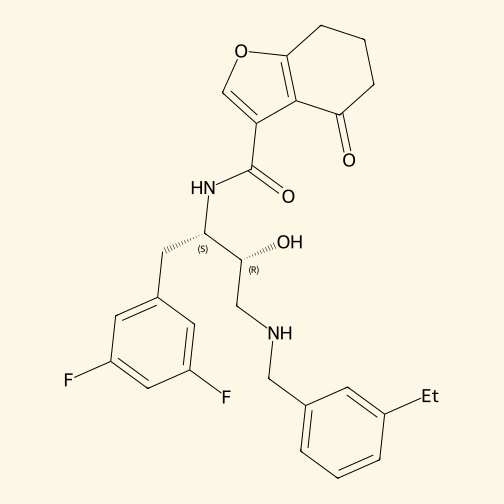 CCc1cccc(CNC[C@@H](O)[C@H](Cc2cc(F)cc(F)c2)NC(=O)c2coc3c2C(=O)CCC3)c1